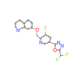 Fc1cc(-c2nnc(C(F)F)o2)cnc1COc1ccc2cccnc2c1